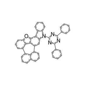 c1ccc(-c2nc(-c3ccccc3)nc(-n3c4ccccc4c4c5oc6cccc7c6c5c(cc43)-c3cccc4cccc-7c34)n2)cc1